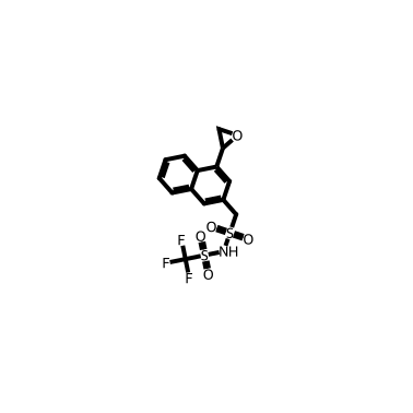 O=S(=O)(Cc1cc(C2CO2)c2ccccc2c1)NS(=O)(=O)C(F)(F)F